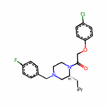 CC(C)C[C@@H]1CN(Cc2ccc(F)cc2)CCN1C(=O)COc1ccc(Cl)cc1